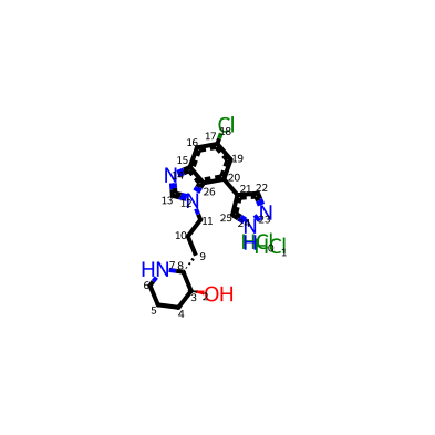 Cl.Cl.O[C@H]1CCCN[C@@H]1CCCn1cnc2cc(Cl)cc(-c3cn[nH]c3)c21